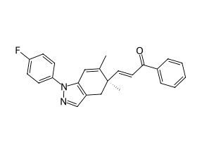 CC1=Cc2c(cnn2-c2ccc(F)cc2)C[C@]1(C)/C=C/C(=O)c1ccccc1